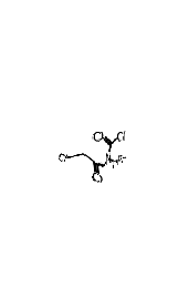 CCCN(C(=O)Cl)C(=O)CCl